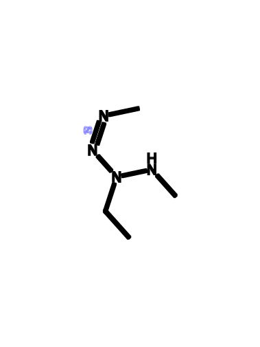 CCN(/N=N\C)NC